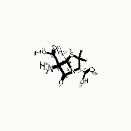 CC1(C)S[C@H]2N(C(=O)C2(N)C(=O)O)[C@H]1C(=O)O